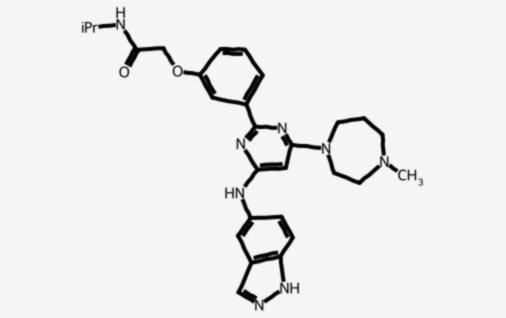 CC(C)NC(=O)COc1cccc(-c2nc(Nc3ccc4[nH]ncc4c3)cc(N3CCCN(C)CC3)n2)c1